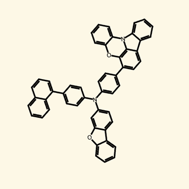 c1ccc2c(c1)Oc1c(-c3ccc(N(c4ccc(-c5cccc6ccccc56)cc4)c4ccc5c(c4)oc4ccccc45)cc3)ccc3c4ccccc4n-2c13